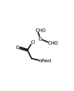 CCCCCCC(=O)Cl.O=COC=O